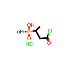 CCCP(=O)(O)C(C)CC(=O)Cl.Cl